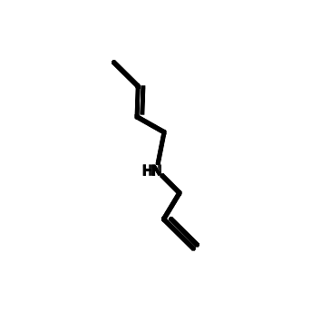 C=CCNCC=CC